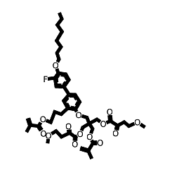 C=C(C)C(=O)OCCCc1cc(-c2ccc(OCCCCCCCC)c(F)c2)ccc1OCC(COC(=O)C(=C)C)(COC(=O)C(=O)CCOC)COC(=O)C(=O)CCOC